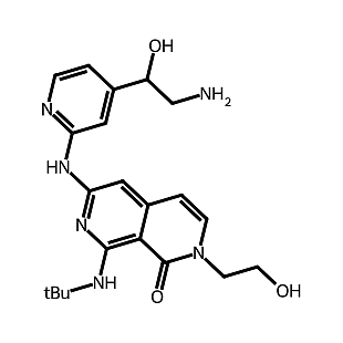 CC(C)(C)Nc1nc(Nc2cc(C(O)CN)ccn2)cc2ccn(CCO)c(=O)c12